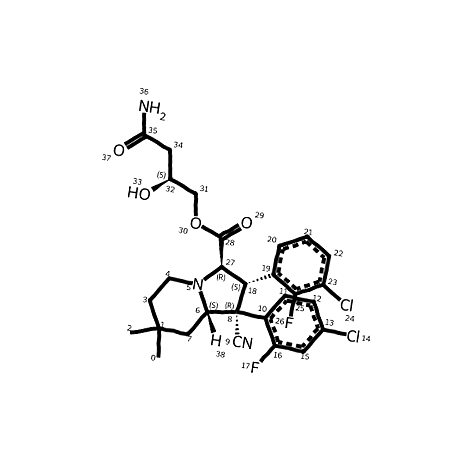 CC1(C)CCN2[C@@H](C1)[C@](C#N)(c1ccc(Cl)cc1F)[C@@H](c1cccc(Cl)c1F)[C@@H]2C(=O)OC[C@@H](O)CC(N)=O